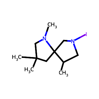 CC1CN(I)CC12CC(C)(C)CN2C